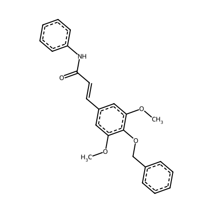 COc1cc(C=CC(=O)Nc2ccccc2)cc(OC)c1OCc1ccccc1